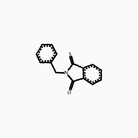 O=C1c2ccccc2C(=S)N1Cc1ccccc1